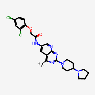 Cc1nc(N2CCC(N3CCCC3)CC2)nc2ncc(NC(=O)COc3ccc(Cl)cc3Cl)cc12